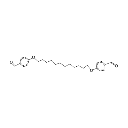 O=Cc1ccc(OCCCCCCCCCCCCOc2ccc(C=O)cc2)cc1